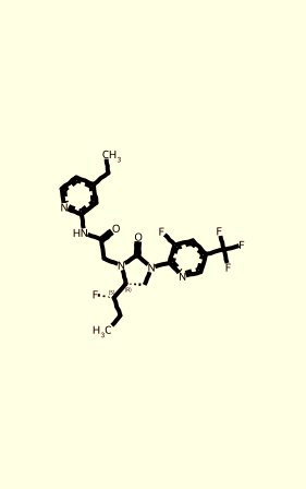 CCc1ccnc(NC(=O)CN2C(=O)N(c3ncc(C(F)(F)F)cc3F)C[C@@H]2[C@@H](F)CC)c1